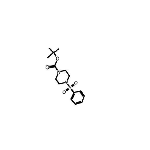 CC(C)(C)OC(=O)N1CCN(S(=O)(=O)c2ccccc2)CC1